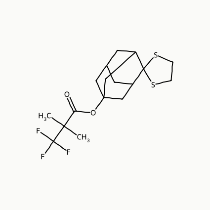 CC(C)(C(=O)OC12CC3CC(C1)C1(SCCS1)C(C3)C2)C(F)(F)F